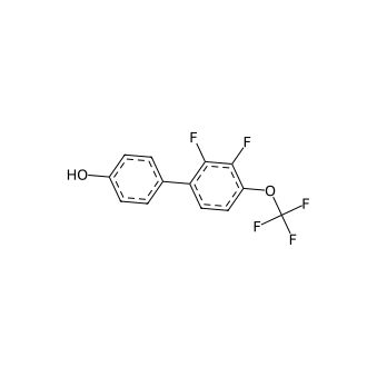 Oc1ccc(-c2ccc(OC(F)(F)F)c(F)c2F)cc1